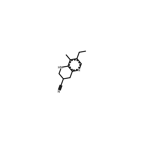 CCc1cnc2c(c1C)NCC(C#N)C2